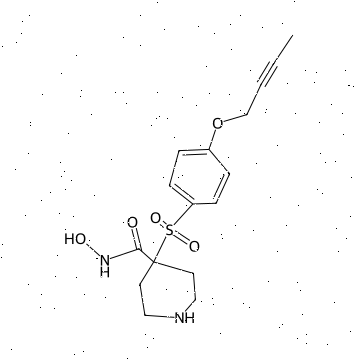 CC#CCOc1ccc(S(=O)(=O)C2(C(=O)NO)CCNCC2)cc1